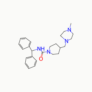 CN1CCN(CC2CCN(C(=O)NC(c3ccccc3)c3ccccc3)CC2)CC1